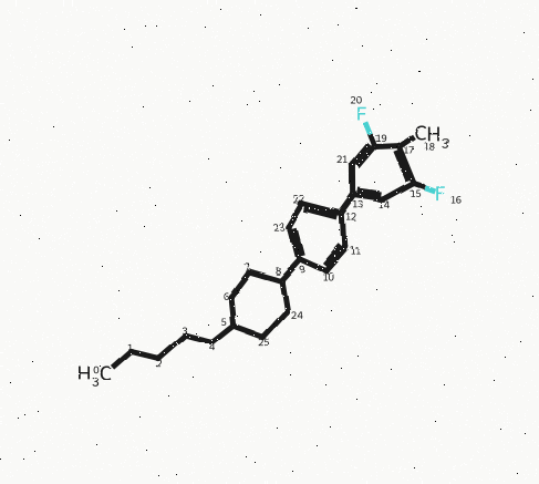 CCCCCC1CCC(c2ccc(-c3cc(F)c(C)c(F)c3)cc2)CC1